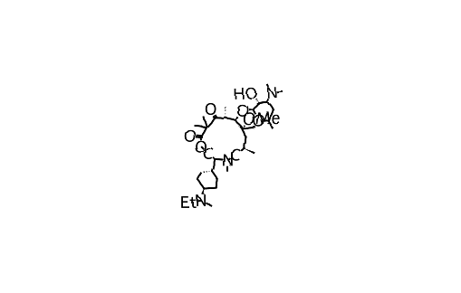 CCN(C)[C@H]1CC[C@H]([C@H]2COC(=O)C(C)(C)C(=O)[C@H](C)[C@@H](O[C@@H]3O[C@H](C)C[C@H](N(C)C)[C@H]3O)[C@](C)(OC)C[C@@H](C)CN2C)CC1